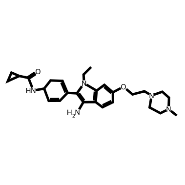 CCn1c(C2=CCC(NC(=O)C3CC3)C=C2)c(N)c2ccc(OCCN3CCN(C)CC3)cc21